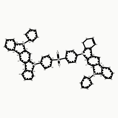 O=S(=O)(c1ccc(-n2c3c(c4cc5c6ccccc6n(-c6ccccc6)c5cc42)C=CCC3)cc1)c1ccc(-n2c3ccccc3c3cc4c5ccccc5n(-c5ccccc5)c4cc32)cc1